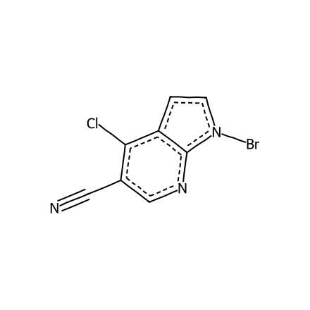 N#Cc1cnc2c(ccn2Br)c1Cl